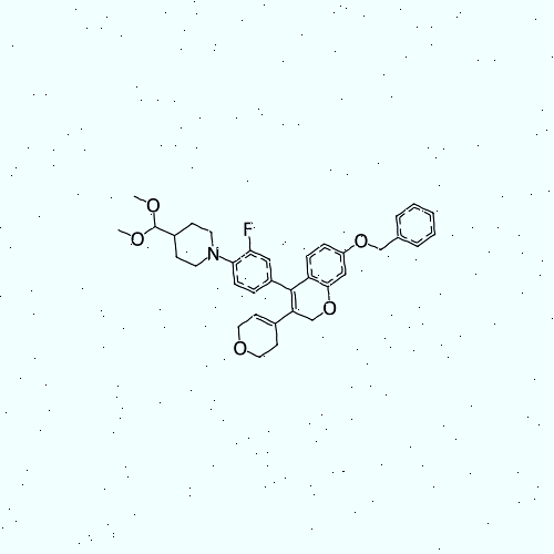 COC(OC)C1CCN(c2ccc(C3=C(C4=CCOCC4)COc4cc(OCc5ccccc5)ccc43)cc2F)CC1